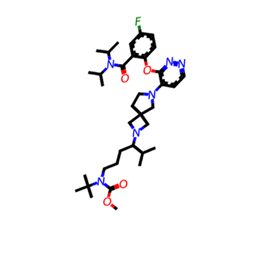 COC(=O)N(CCCC(C(C)C)N1CC2(CCN(c3ccnnc3Oc3ccc(F)cc3C(=O)N(C(C)C)C(C)C)C2)C1)C(C)(C)C